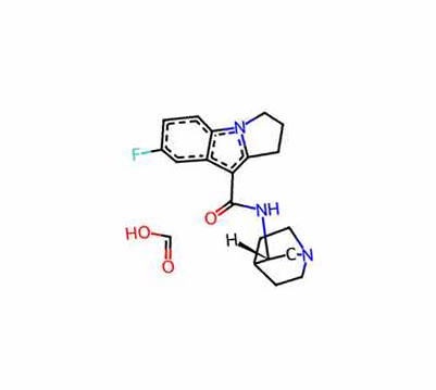 O=C(N[C@@H]1CN2CCC1CC2)c1c2n(c3ccc(F)cc13)CCC2.O=CO